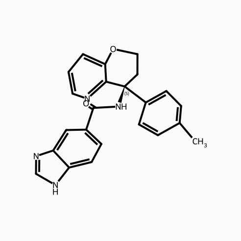 Cc1ccc([C@@]2(NC(=O)c3ccc4[nH]cnc4c3)CCOc3cccnc32)cc1